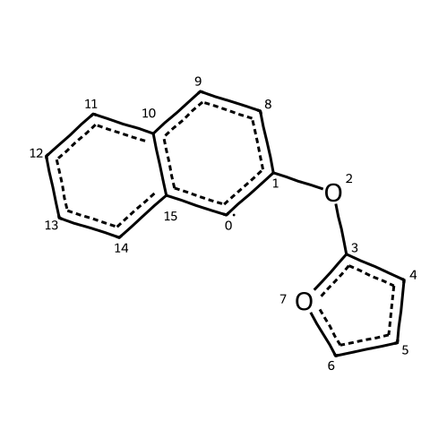 [c]1c(Oc2ccco2)ccc2ccccc12